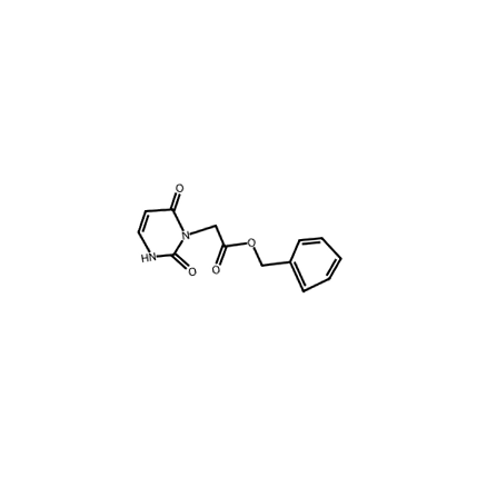 O=C(Cn1c(=O)cc[nH]c1=O)OCc1ccccc1